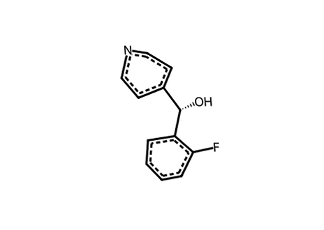 O[C@@H](c1ccncc1)c1ccccc1F